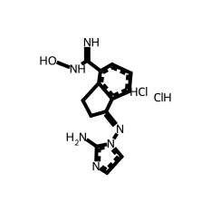 Cl.Cl.N=C(NO)c1cccc2c1CC/C2=N\n1ccnc1N